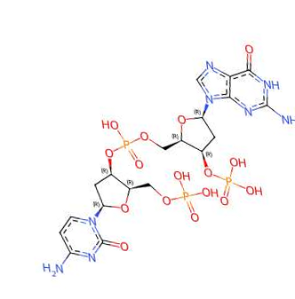 Nc1ccn([C@H]2C[C@@H](OP(=O)(O)OC[C@H]3O[C@@H](n4cnc5c(=O)[nH]c(N)nc54)C[C@H]3OP(=O)(O)O)[C@@H](COP(=O)(O)O)O2)c(=O)n1